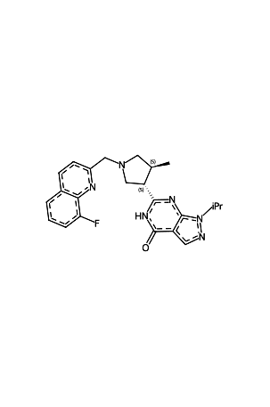 CC(C)n1ncc2c(=O)[nH]c([C@@H]3CN(Cc4ccc5cccc(F)c5n4)C[C@H]3C)nc21